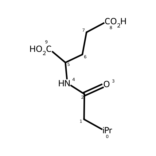 CC(C)CC(=O)NC(CCC(=O)O)C(=O)O